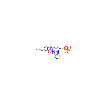 CCCCc1ccc(CN(CCCCCCOS(C)(=O)=O)C(=O)NCc2cc(C)c(C)cc2C)cc1